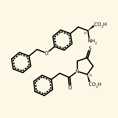 N[C@@H](Cc1ccc(OCc2ccccc2)cc1)C(=O)O.O=C(O)[C@@H]1CC(=S)CN1C(=O)Cc1ccccc1